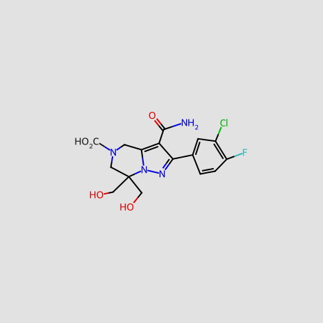 NC(=O)c1c(-c2ccc(F)c(Cl)c2)nn2c1CN(C(=O)O)CC2(CO)CO